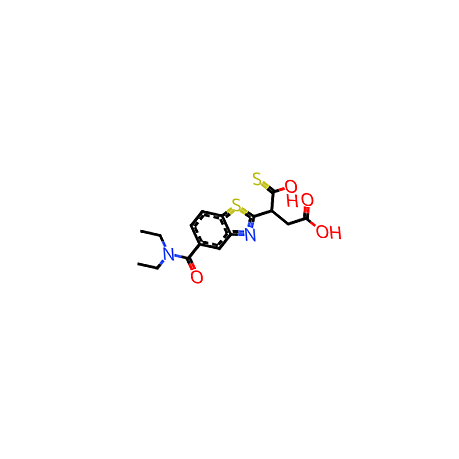 CCN(CC)C(=O)c1ccc2sc(C(CC(=O)O)C(O)=S)nc2c1